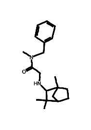 CN(Cc1ccccc1)C(=O)CNC1C2(C)CCC(C2)C1(C)C